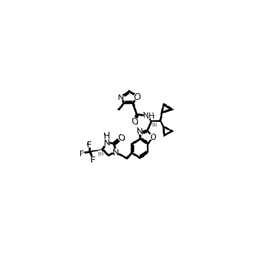 Cc1ncoc1C(=O)N[C@H](c1nc2cc(CN3C[C@@H](C(F)(F)F)NC3=O)ccc2o1)C(C1CC1)C1CC1